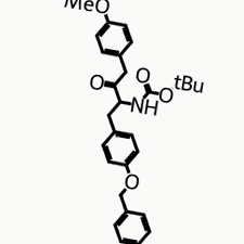 COc1ccc(CC(=O)C(Cc2ccc(OCc3ccccc3)cc2)NC(=O)OC(C)(C)C)cc1